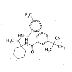 C=C(NCc1cccc(C(F)(F)F)c1)C1(NC(=O)c2cccc(C(C)(C)C#N)c2)CCCCC1